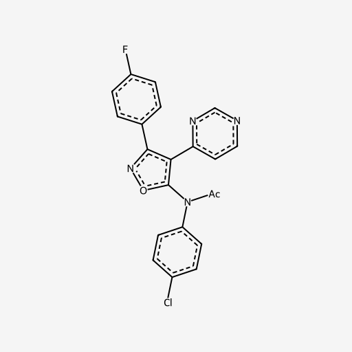 CC(=O)N(c1ccc(Cl)cc1)c1onc(-c2ccc(F)cc2)c1-c1ccncn1